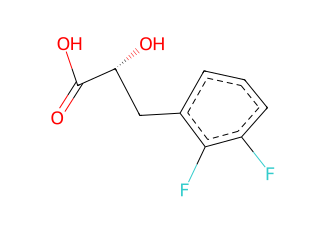 O=C(O)[C@H](O)Cc1cccc(F)c1F